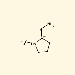 [CH2-][NH+]1CCC[C@@H]1CN